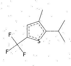 Cc1cc(C(F)(F)F)sc1C(C)C